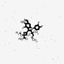 COCC(C)(C)c1c(C2CC(OC)(C(=O)O)C2)c2c(F)c3[nH]ncc3cc2n1-c1ccc(F)c(F)c1